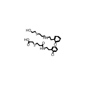 O=C(O)CSCCC(=O)NCCc1ccccc1Cl.OCCSCCCNCCc1ccccc1Cl